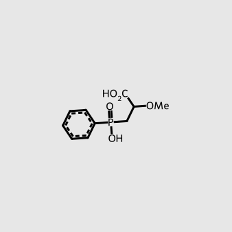 COC(CP(=O)(O)c1ccccc1)C(=O)O